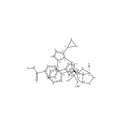 COC(=O)c1ccc(-c2csc(N3[C@@H]4CC[C@H]3C[C@@H](OCc3c(-c5ccccc5OC(F)(F)F)noc3C3CC3)C4)n2)cc1